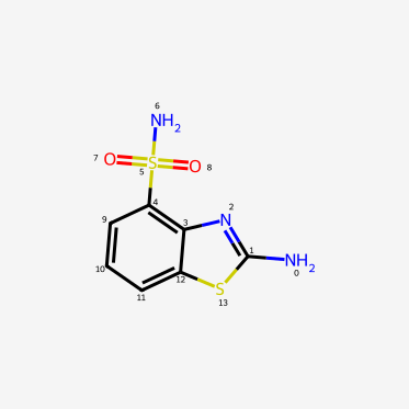 Nc1nc2c(S(N)(=O)=O)cccc2s1